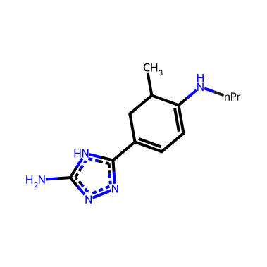 CCCNC1=CC=C(c2nnc(N)[nH]2)CC1C